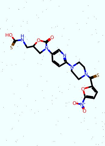 O=C1OC(CNC(O)=S)CN1c1ccc(N2CCN(C(=S)c3ccc([N+](=O)[O-])o3)CC2)nc1